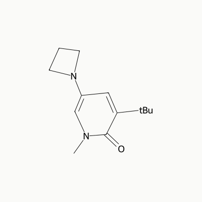 Cn1cc(N2CCC2)cc(C(C)(C)C)c1=O